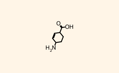 NC1C=CC(C(=O)O)CC1